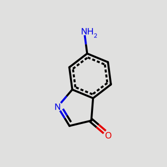 Nc1ccc2c(c1)N=CC2=O